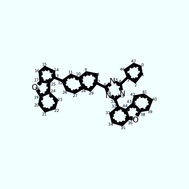 c1ccc(-c2nc(-c3ccc4cc(-c5cccc6oc7ccccc7c56)ccc4c3)nc(-c3cccc4oc5ccccc5c34)n2)cc1